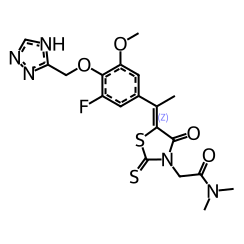 COc1cc(/C(C)=C2\SC(=S)N(CC(=O)N(C)C)C2=O)cc(F)c1OCc1nnc[nH]1